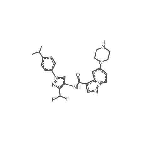 CC(C)c1ccc(-n2cc(NC(=O)c3cnn4ccc(N5CCNCC5)cc34)c(C(F)F)n2)cc1